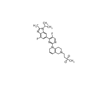 Cc1nc2c(F)cc(-c3nc(N4CC=CC5=C4CCN(CCS(C)(=O)=O)C5)ncc3F)cc2n1C(C)C